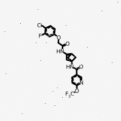 O=C(COc1ccc(Cl)c(F)c1)NC1=C2CC(NC(=O)c3ccc(OC(F)(F)F)nc3)(C2)C1